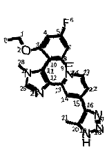 CCOc1cc(F)cc(F)c1-c1c(-c2cc(-c3nn[nH]c3C)ccn2)ncn1C